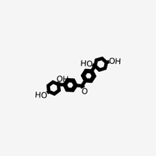 O=C(c1ccc(C2(O)CCC(O)CC2)cc1)c1ccc(C2(O)CCC(O)CC2)cc1